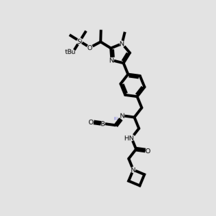 CC(O[Si](C)(C)C(C)(C)C)c1nc(-c2ccc(CC(CNC(=O)CN3CCC3)/N=C/B=O)cc2)cn1C